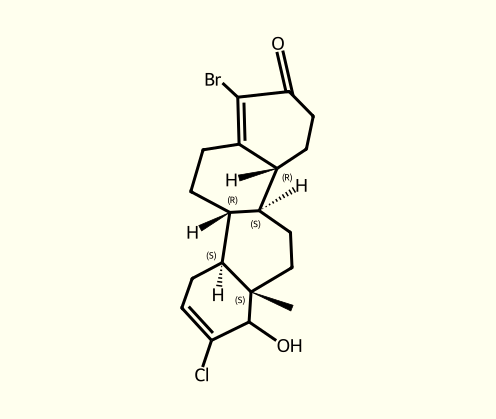 C[C@]12CC[C@H]3[C@@H](CCC4=C(Br)C(=O)CC[C@@H]43)[C@@H]1CC=C(Cl)C2O